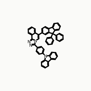 c1ccc(C2(c3ccccc3)c3ccccc3-c3ccc(-c4cn5c(-c6ccc(-n7c8ccccc8c8ccccc87)cc6)nnc5c5ccccc45)cc32)cc1